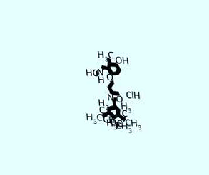 CCc1c(O)ccc(OCCc2coc(-c3cc(C(C)(C)C)c(OC)c(C(C)(C)C)c3)n2)c1CNO.Cl